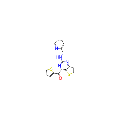 O=C(c1cccs1)c1nc(NCc2ccccn2)nc2ccsc12